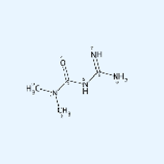 CN(C)C(=O)NC(=N)N